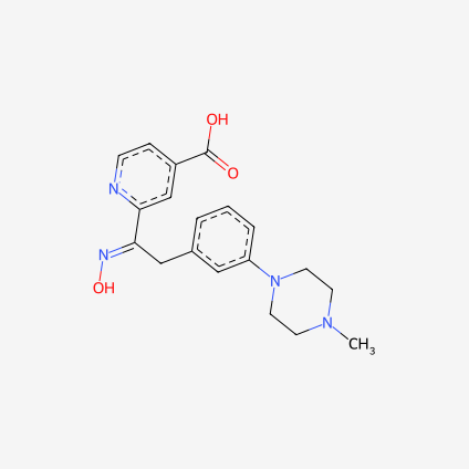 CN1CCN(c2cccc(C/C(=N\O)c3cc(C(=O)O)ccn3)c2)CC1